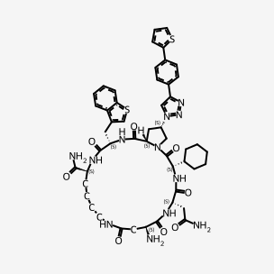 NC(=O)C[C@@H]1NC(=O)[C@@H](N)CC(=O)NCCCC[C@@H](C(N)=O)NC(=O)[C@H](Cc2csc3ccccc23)NC(=O)[C@@H]2C[C@H](n3cc(-c4ccc(-c5cccs5)cc4)nn3)CN2C(=O)[C@H](C2CCCCC2)NC1=O